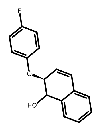 OC1c2ccccc2C=C[C@@H]1Oc1ccc(F)cc1